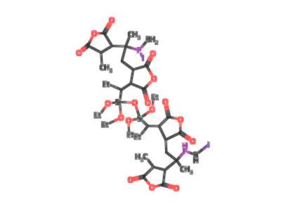 BP(I)C(C)(CC1C(=O)OC(=O)C1C(CC)[Si](OCC)(OCC)O[Si](OCC)(OCC)C(CC)C1C(=O)OC(=O)C1CC(C)(PBI)C1C(=O)OC(=O)C1C)C1C(=O)OC(=O)C1C